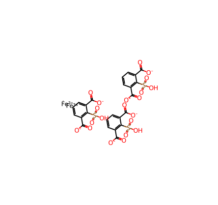 O=C([O-])c1cccc(C(=O)[O-])c1S(=O)(=O)O.O=C([O-])c1cccc(C(=O)[O-])c1S(=O)(=O)O.O=C([O-])c1cccc(C(=O)[O-])c1S(=O)(=O)O.[Fe+3].[Fe+3]